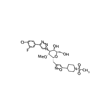 CO[C@@H]1[C@@H](n2cc(-c3ccc(Cl)c(F)c3)nn2)[C@@H](O)[C@@H](CO)O[C@@H]1Cc1cc(C2CCN(S(C)(=O)=O)CC2)on1